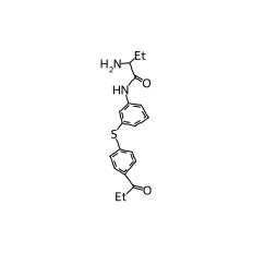 CCC(=O)c1ccc(Sc2cccc(NC(=O)C(N)CC)c2)cc1